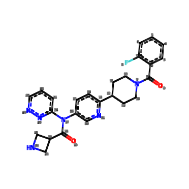 O=C(c1ccccc1F)N1CCC(c2ccc(N(C(=O)C3CNC3)c3cccnn3)cn2)CC1